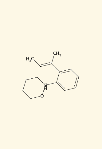 CC=C(C)c1ccccc1[SiH]1CCCCO1